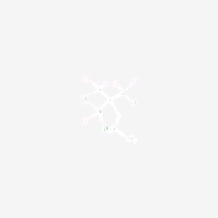 C[SiH2]CC([Si](Cl)(Cl)Cl)([Si](Cl)(Cl)Cl)[Si](Cl)(Cl)Cl